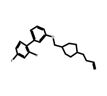 C=CCCC1CCC(COc2[c]ccc(-c3ccc(F)cc3F)c2)CC1